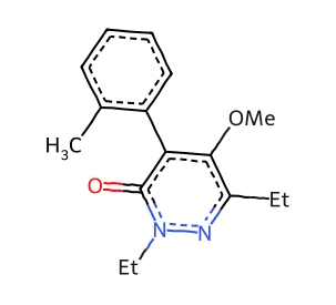 CCc1nn(CC)c(=O)c(-c2ccccc2C)c1OC